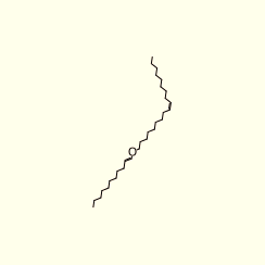 CCCCCCCC/C=C\CCCCCCCCOC=CCCCCCCCCC